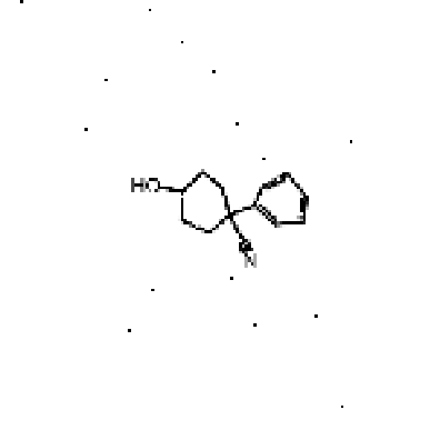 N#CC1(c2ccccc2)CCC(O)CC1